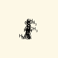 C[C@H](c1ccc(C(=O)N(C)C)cc1)N1C(=O)[C@@H]2C[C@H]1CN2C[C@H](C)C(=O)N1CCC[C@H]1C#N